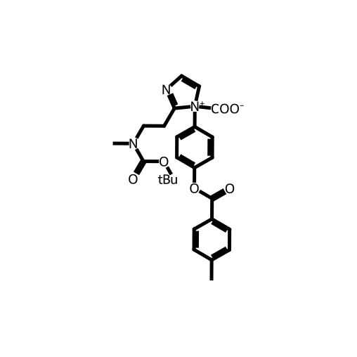 Cc1ccc(C(=O)Oc2ccc([N+]3(C(=O)[O-])C=CN=C3CCN(C)C(=O)OC(C)(C)C)cc2)cc1